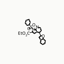 CCOC(=O)c1cc2c(-c3cc4ccccc4o3)ccnc2n1S(=O)(=O)c1ccccc1